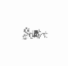 Nc1ccc(N2CCCC2)cc1C(=O)NCC1CCN(C(c2ccccc2)c2ccccc2)CC1